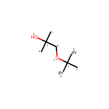 CC(C)C(C)(OCC(C)(C)O)C(C)C